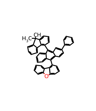 CC1(C)c2ccccc2-c2c(-c3c4ccccc4c(-c4cccc5oc6ccccc6c45)c4ccc(-c5ccccc5)cc34)cccc21